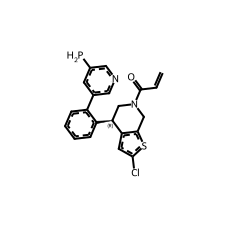 C=CC(=O)N1Cc2sc(Cl)cc2[C@@H](c2ccccc2-c2cncc(P)c2)C1